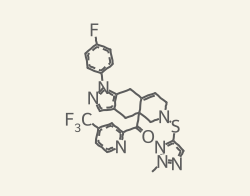 Cn1ncc(SN2CC=C3Cc4c(cnn4-c4ccc(F)cc4)CC3(C(=O)c3cc(C(F)(F)F)ccn3)C2)n1